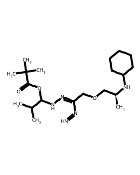 CC(C)C(N/N=C(/COC[C@H](C)NC1CCCCC1)N=N)OC(=O)C(C)(C)C